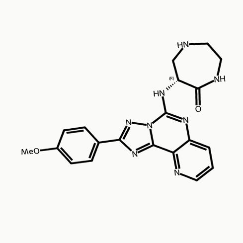 COc1ccc(-c2nc3c4ncccc4nc(N[C@@H]4CNCCNC4=O)n3n2)cc1